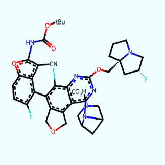 CC(C)(C)OC(=O)Nc1oc2ccc(F)c(-c3c4c(c5c(N6C7CC6CN(C(=O)O)C7)nc(OC[C@@]67CCCN6C[C@H](F)C7)nc5c3F)COC4)c2c1C#N